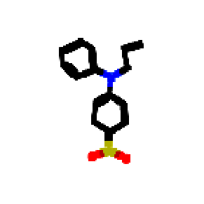 C=C[CH]N(C1=CCC(=S(=O)=O)C=C1)c1ccccc1